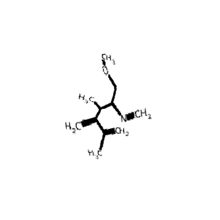 C=NC(COC)C(C)C(=C)C(=C)C